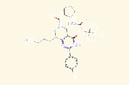 CCCCC1CN(C(=O)[C@@H]2CCC[C@@H]2NC(=O)OC(C)(C)C)Cc2c1nc(-c1ccc(Cl)cc1)[nH]c2=O